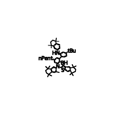 CCCCCc1cc(-c2ccc(C(C)(C)C)cc2Nc2ccc3c(c2)C(C)(C)CCC3(C)C)c2c(c1)N(c1cc3c(cc1C)C(C)(C)CCC3(C)C)c1sc3cc4c(cc3c1B2)C(C)(C)CCC4(C)C